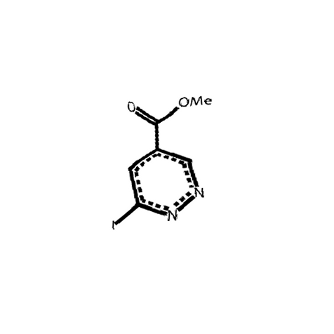 COC(=O)c1cnnc(I)c1